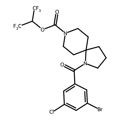 O=C(OC(C(F)(F)F)C(F)(F)F)N1CCC2(CCCN2C(=O)c2cc(Cl)cc(Br)c2)CC1